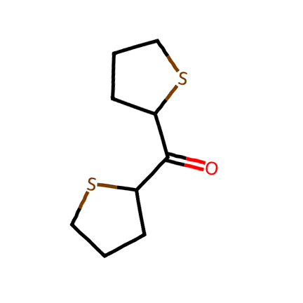 O=C(C1CCCS1)C1CCCS1